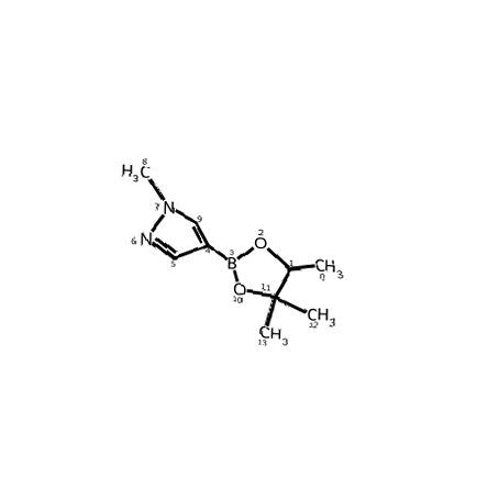 CC1OB(c2cnn(C)c2)OC1(C)C